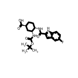 CC(C)(C)OC(=O)N[C@@H]1C[C@@H](C(=O)O)CC[C@@H]1NC(=O)c1cc2cc(F)ccc2[nH]1